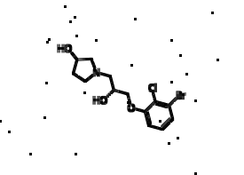 OC1CCN(CC(O)COc2cccc(Br)c2Cl)C1